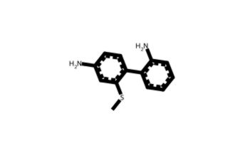 CSc1cc(N)ccc1-c1ccccc1N